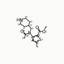 COC(=O)c1sc(C)cc1N(CC1CCNCC1)C(C)=O